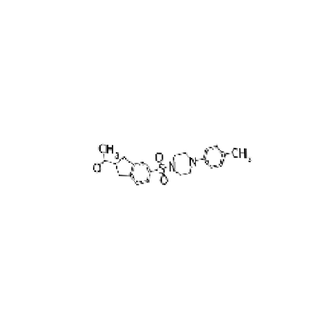 CC(=O)C1Cc2ccc(S(=O)(=O)N3CCN(c4ccc(C)cc4)CC3)cc2C1